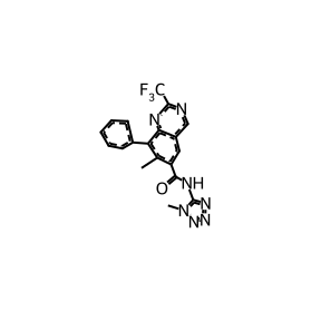 Cc1c(C(=O)Nc2nnnn2C)cc2cnc(C(F)(F)F)nc2c1-c1ccccc1